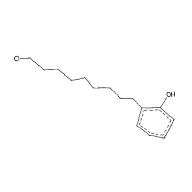 Oc1ccccc1CCCCCCCCCCl